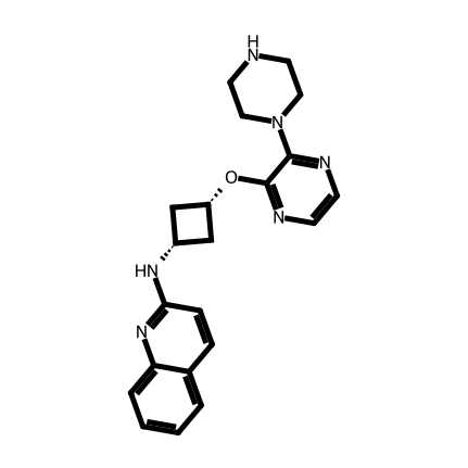 c1ccc2nc(N[C@H]3C[C@@H](Oc4nccnc4N4CCNCC4)C3)ccc2c1